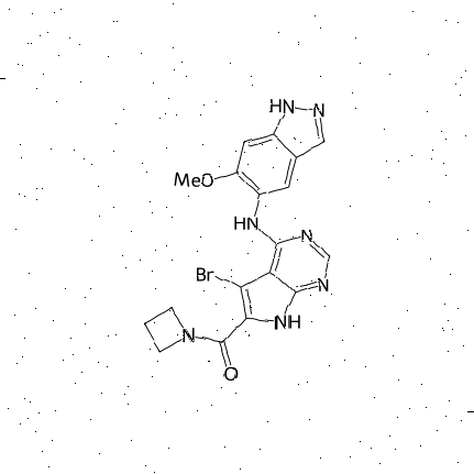 COc1cc2[nH]ncc2cc1Nc1ncnc2[nH]c(C(=O)N3CCC3)c(Br)c12